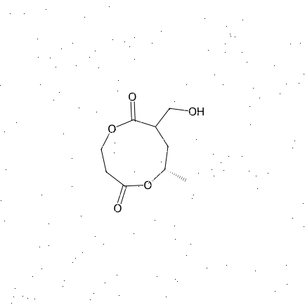 C[C@H]1CC(CO)C(=O)OCCC(=O)O1